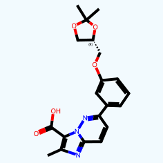 Cc1nc2ccc(-c3cccc(OC[C@@H]4COC(C)(C)O4)c3)nn2c1C(=O)O